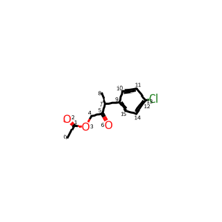 CC(=O)OCC(=O)C(C)c1ccc(Cl)cc1